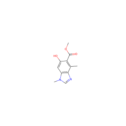 COC(=O)c1c(O)cc2c(ncn2C)c1C